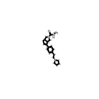 CC(C)NC(=O)N1CC2CC=C(c3ccc(CCN4CCCC4)cc3)C2C1